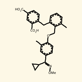 CON=C(c1ccc(OCc2c(C)cccc2Cc2ccc(C(=O)O)cc2C(=O)O)c(C)c1)C1CC1